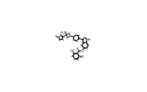 C[C@@H](Oc1ccc2[nH]nc(-c3ccc(N4CC(N)(c5ccn(C)n5)C4)nn3)c2c1)c1c(Cl)cncc1Cl